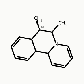 CC1[C@H](C)C2C=CC=CC2C2C=CC=CN21